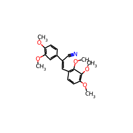 COc1ccc(C(C#N)=Cc2ccc(OC)c(OC)c2OC)cc1OC